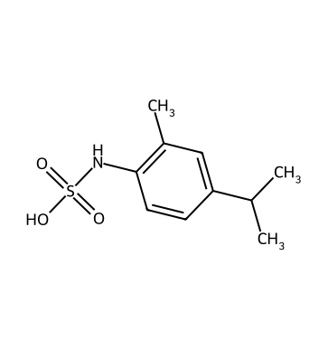 Cc1cc(C(C)C)ccc1NS(=O)(=O)O